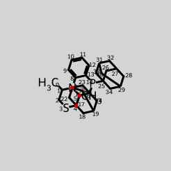 CC1CSCC(C)N1c1ccccc1P(C12CC3CC(CC(C3)C1)C2)C12CC3CC(CC(C3)C1)C2